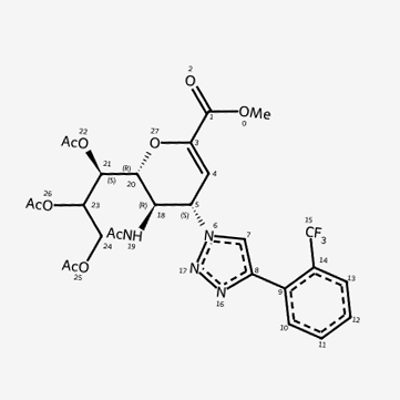 COC(=O)C1=C[C@H](n2cc(-c3ccccc3C(F)(F)F)nn2)[C@@H](NC(C)=O)[C@H]([C@H](OC(C)=O)C(COC(C)=O)OC(C)=O)O1